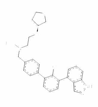 CN(CCO[C@H]1CCOC1)Cc1ccc(-c2cccc(-c3cccc4[nH]ncc34)c2Cl)cc1